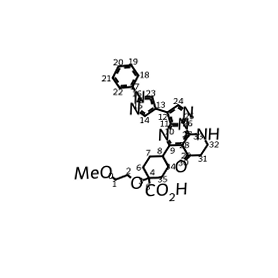 COCCOC1(C(=O)O)CCC(c2nc3c(-c4cnn(-c5ccccc5)c4)cnn3c3c2C(=O)CCN3)CC1